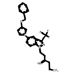 CCCC(=N)CCn1nc(C(F)(F)F)c2cc(-n3ccc(OCc4ccccc4)c3)ccc21